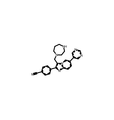 N#Cc1ccc(-c2nc3ccc(-c4cncnc4)cn3c2CN2CCCNCC2)cc1